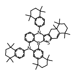 CC1(C)CCC(C)(C)C2(C)Cc3c(sc4c3N(c3ccc5c(c3)C(C)(C)CCC5(C)C)c3cccc5c3B4c3cc4c(cc3N5c3ccc5c(c3)C(C)(C)CCC5(C)C)C(C)(C)CCC4(C)C)C=C12